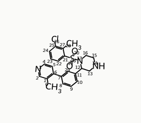 Cc1cnccc1-c1cccc(C2CNCCN2S(=O)(=O)c2cccc(Cl)c2C)c1